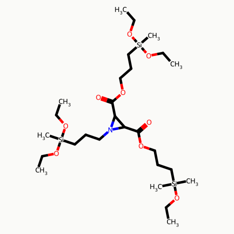 CCO[Si](C)(C)CCCOC(=O)C1C(C(=O)OCCC[Si](C)(OCC)OCC)N1CCC[Si](C)(OCC)OCC